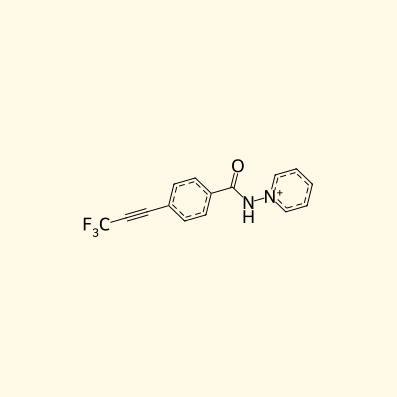 O=C(N[n+]1ccccc1)c1ccc(C#CC(F)(F)F)cc1